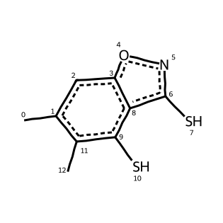 Cc1cc2onc(S)c2c(S)c1C